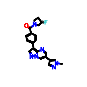 Cn1cc(-c2cnc3c(-c4ccc(C(=O)N5CC[C@H](F)C5)cc4)cnn3c2)cn1